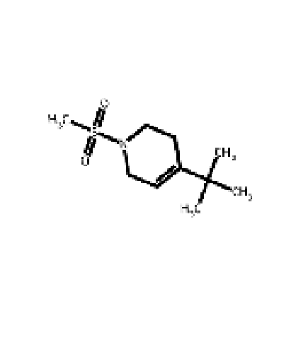 CC(C)(C)C1=CCN(S(C)(=O)=O)CC1